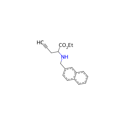 C#CCC(NCc1ccc2ccccc2c1)C(=O)OCC